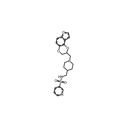 O=S(=O)(NCC1CCN(CC2COc3ccc4occc4c3O2)CC1)c1cccnc1